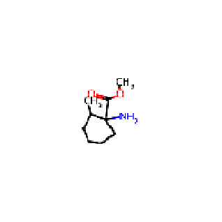 COC(=O)C1(N)CCCCC1C